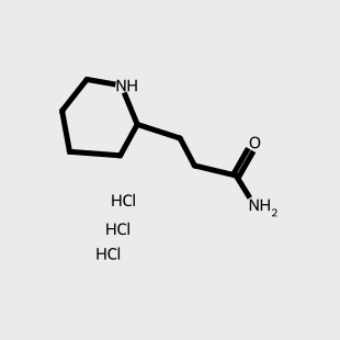 Cl.Cl.Cl.NC(=O)CCC1CCCCN1